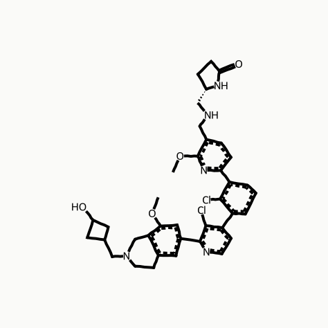 COc1cc(-c2nccc(-c3cccc(-c4ccc(CNC[C@@H]5CCC(=O)N5)c(OC)n4)c3Cl)c2Cl)cc2c1CN(CC1CC(O)C1)CC2